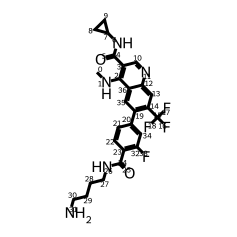 CNc1c(C(=O)NC2CC2)cnc2cc(C(F)(F)F)c(-c3ccc(C(=O)NCCCCN)c(F)c3)cc12